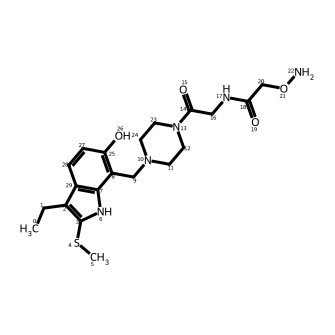 CCc1c(SC)[nH]c2c(CN3CCN(C(=O)CNC(=O)CON)CC3)c(O)ccc12